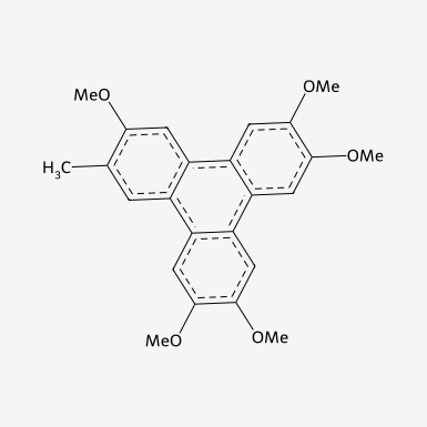 COc1cc2c(cc1C)c1cc(OC)c(OC)cc1c1cc(OC)c(OC)cc21